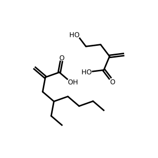 C=C(CC(CC)CCCC)C(=O)O.C=C(CCO)C(=O)O